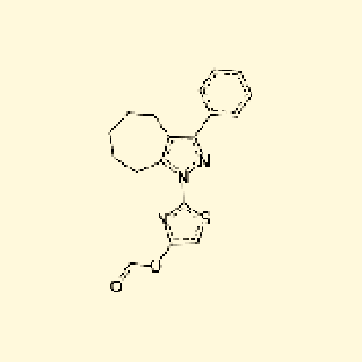 O=COc1csc(-n2nc(-c3ccccc3)c3c2CCCCC3)n1